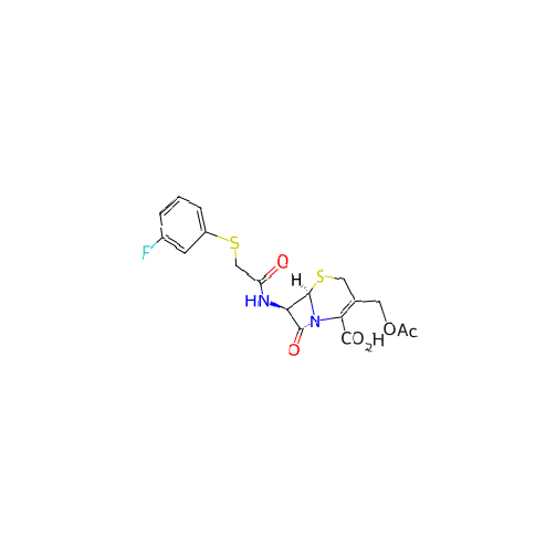 CC(=O)OCC1=C(C(=O)O)N2C(=O)[C@@H](NC(=O)CSc3cccc(F)c3)[C@H]2SC1